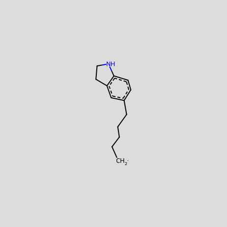 [CH2]CCCCc1ccc2c(c1)CCN2